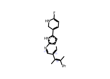 C/C=C(\C=N/c1ccc(C2=CC=C(F)NC2)[nH]1)C(/C)=C(\C)C(C)C